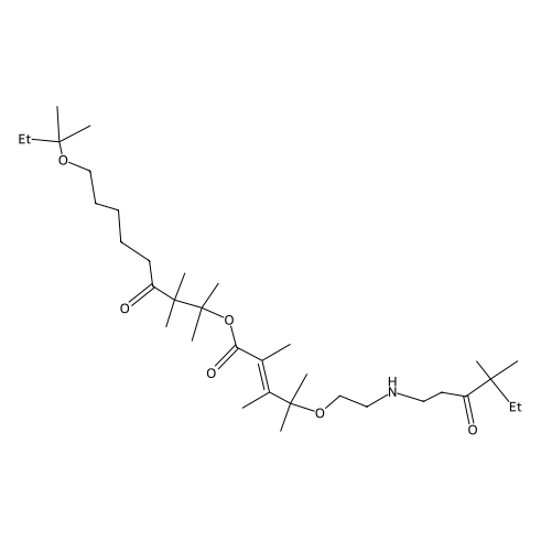 CCC(C)(C)OCCCCCC(=O)C(C)(C)C(C)(C)OC(=O)/C(C)=C(\C)C(C)(C)OCCNCCC(=O)C(C)(C)CC